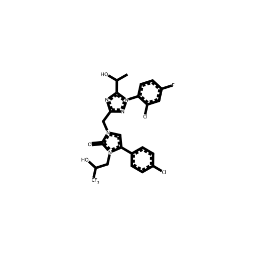 CC(O)c1nc(Cn2cc(-c3ccc(Cl)cc3)n(CC(O)C(F)(F)F)c2=O)nn1-c1ccc(F)cc1Cl